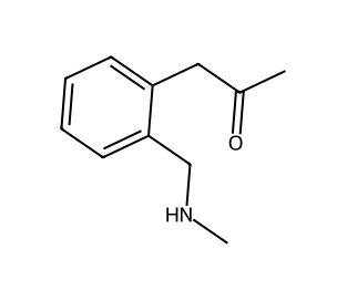 CNCc1ccccc1CC(C)=O